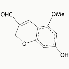 COc1cc(O)cc2c1C=C(C=O)CO2